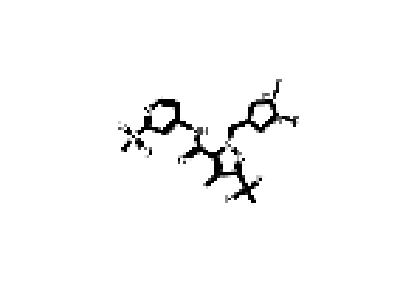 Cc1c(C(C)(F)F)nn(CC2C[C@@H](F)[C@@H](F)C2)c1C(=O)Nc1ccnc(S(C)(=O)=O)c1